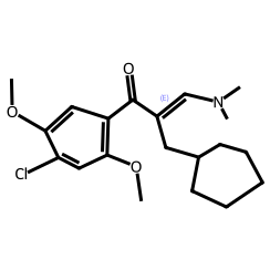 COc1cc(C(=O)/C(=C/N(C)C)CC2CCCCC2)c(OC)cc1Cl